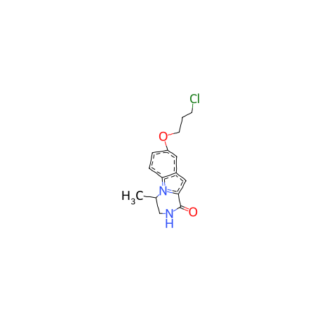 CC1CNC(=O)c2cc3cc(OCCCCl)ccc3n21